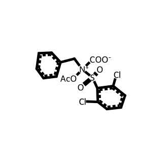 CC(=O)O[N+](Cc1ccccc1)(C(=O)[O-])S(=O)(=O)c1c(Cl)cccc1Cl